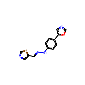 C(=NNc1ccc(-c2cnco2)cc1)c1cncs1